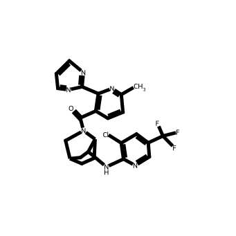 Cc1ccc(C(=O)N2CC3CCC2C(Nc2ncc(C(F)(F)F)cc2Cl)C3)c(-c2ncccn2)n1